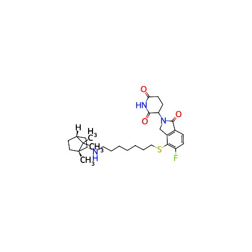 CC1(C)[C@@H]2CC[C@@]1(C)[C@@H](NCCCCCCCSc1c(F)ccc3c1CN(C1CCC(=O)NC1=O)C3=O)C2